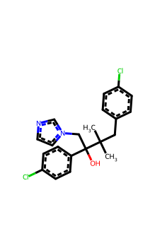 CC(C)(Cc1ccc(Cl)cc1)C(O)(Cn1ccnc1)c1ccc(Cl)cc1